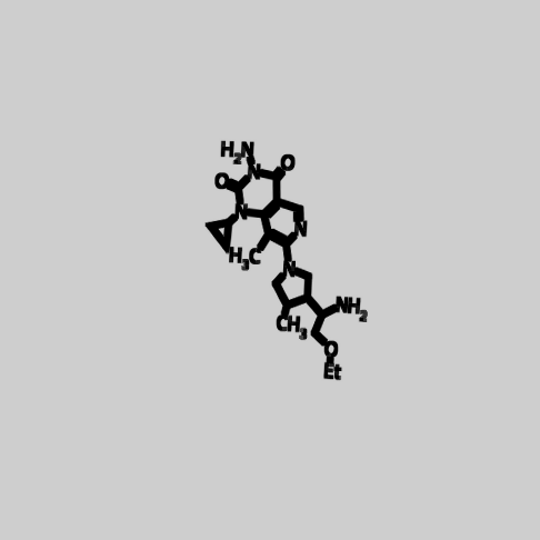 CCOCC(N)C1CN(c2ncc3c(=O)n(N)c(=O)n(C4CC4)c3c2C)CC1C